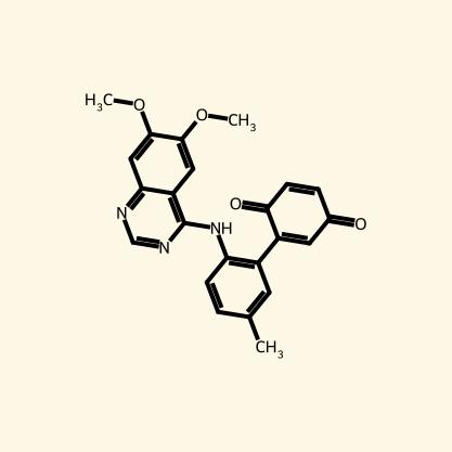 COc1cc2ncnc(Nc3ccc(C)cc3C3=CC(=O)C=CC3=O)c2cc1OC